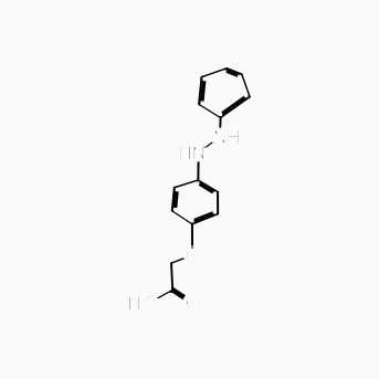 O=C(O)COc1ccc(NNc2ccccc2)cc1